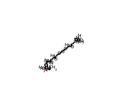 Cc1ccc(C)n1-c1cc(C(=O)NNC(=O)CCCC(=O)NCCCOCCOCCOCCCNC(=O)CCCC[C@@H]2SC[C@H]3NC(=O)N[C@@H]23)ccc1C(=O)O